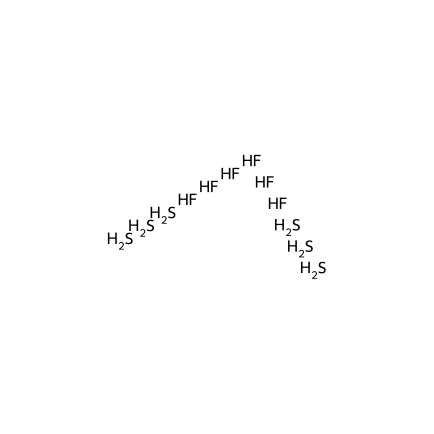 F.F.F.F.F.F.S.S.S.S.S.S